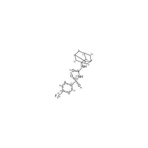 O=C(NC12CC3CC(CC(C3)C1)C2)NS(=O)(=O)c1ccc(C(F)(F)F)cc1